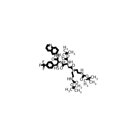 CC(C)(C)OC(=O)NCCN(CCNC(=O)OC(C)(C)C)C(=O)C[C@H](NC(=O)OC(C)(C)C)C(=O)N[C@H](C(=O)Nc1ccc2ncccc2c1)[C@@H](S)c1ccc(C(F)(F)F)cc1